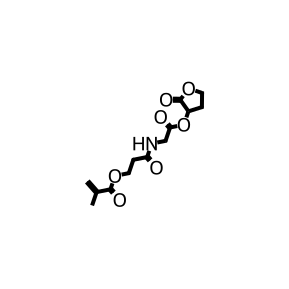 C=C(C)C(=O)OCCC(=O)NCC(=O)OC1CCOC1=O